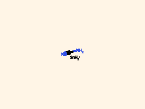 N#CN.[SnH2]